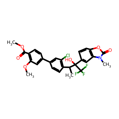 COC(=O)c1ccc(-c2ccc(C(C)C(O)(c3ccc4oc(=O)n(C)c4c3)C(F)(F)F)c(Cl)c2)cc1OC